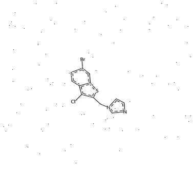 Clc1c(Cn2ccnc2)sc2cc(Br)ccc12